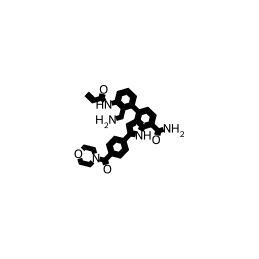 C=CC(=O)Nc1cccc(-c2ccc(C(N)=O)c3[nH]c(-c4ccc(C(=O)N5CCOCC5)cc4)cc23)c1CN